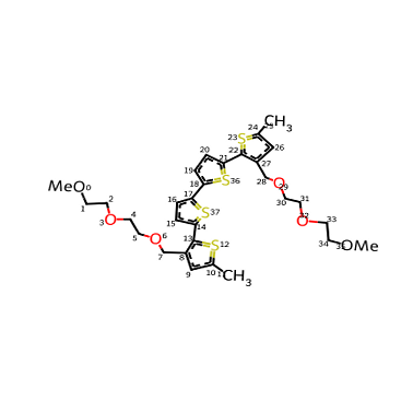 COCCOCCOCc1cc(C)sc1-c1ccc(-c2ccc(-c3sc(C)cc3COCCOCCOC)s2)s1